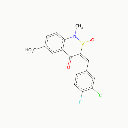 CN1c2ccc(C(=O)O)cc2C(=O)/C(=C\c2ccc(F)c(Cl)c2)[S+]1[O-]